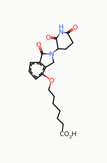 O=C(O)CCCCCCOc1cccc2c1CN(C1CCC(=O)NC1=O)C2=O